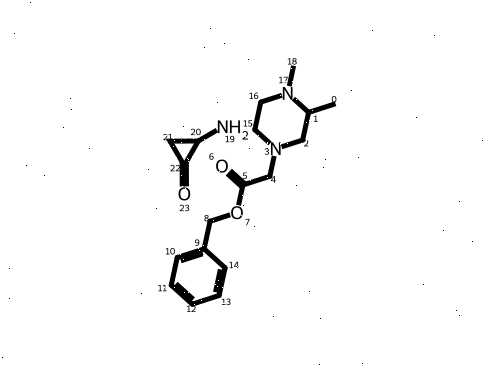 CC1CN(CC(=O)OCc2ccccc2)CCN1C.NC1CC1=O